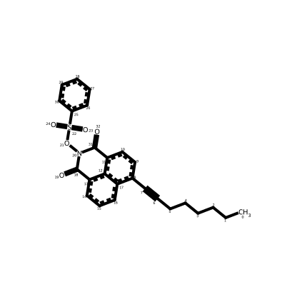 CCCCCCC#Cc1ccc2c3c(cccc13)C(=O)N(OS(=O)(=O)c1ccccc1)C2=O